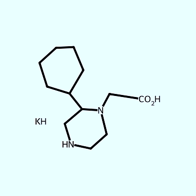 O=C(O)CN1CCNCC1C1CCCCC1.[KH]